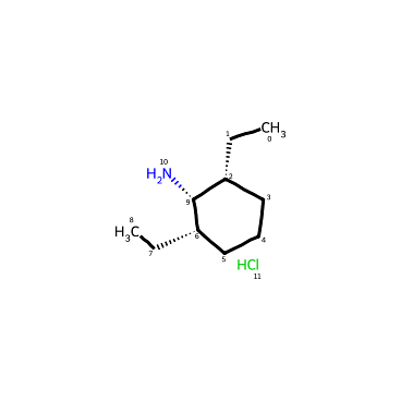 CC[C@@H]1CCC[C@H](CC)[C@@H]1N.Cl